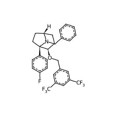 Fc1ccc([C@]23CC[C@H](CC[C@H]2OCc2cc(C(F)(F)F)cc(C(F)(F)F)c2)N3Cc2ccccc2)cc1